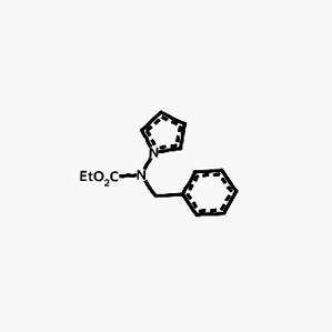 CCOC(=O)N(Cc1ccccc1)n1cccc1